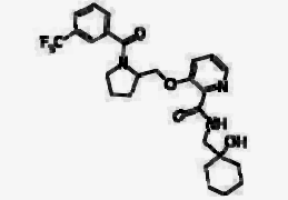 O=C(NCC1(O)CCCCC1)c1ncccc1OCC1CCCN1C(=O)c1cccc(C(F)(F)F)c1